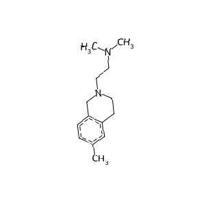 Cc1ccc2c(c1)CCN(CCN(C)C)C2